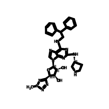 Cn1nnc([C@H]2O[C@@H](n3cnc4c(NCC(c5ccccc5)c5ccccc5)nc(N[C@@H]5CCNC5)nc43)[C@H](O)[C@@H]2O)n1